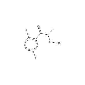 CCCO[C@@H](C)C(=O)c1cc(F)ccc1F